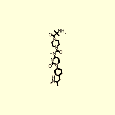 CNC(C)Cc1ccc(-n2ccc(NC(=O)N3CCN(C(=O)C(C)(C)N)CC3)nc2=O)cc1